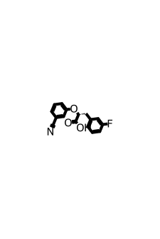 N#Cc1cccc(O[C@H](Cc2cccc(F)c2)C(=O)O)c1